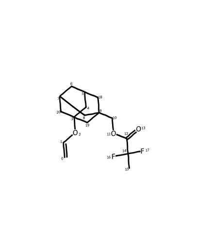 C=COC12CC3CC(CC(COC(=O)C(C)(F)F)(C3)C1)C2